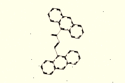 O=C(C=Cc1c2ccccc2cc2ccccc12)c1c2ccccc2cc2ccccc12